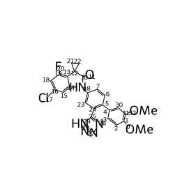 COc1ccc(-c2ccc(NC(=O)C3(c4ccc(Cl)cc4F)CC3)cc2-c2nnn[nH]2)cc1OC